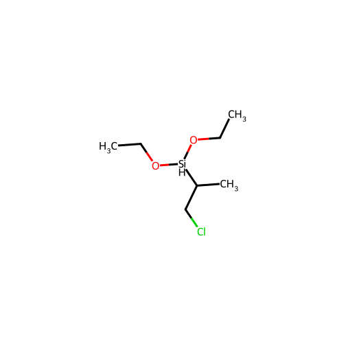 CCO[SiH](OCC)C(C)CCl